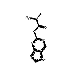 C[C@H](N)C(=O)Oc1ncc2[nH]cnc2n1